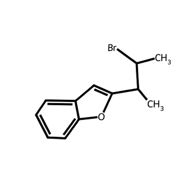 CC(Br)C(C)c1cc2ccccc2o1